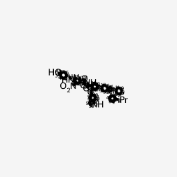 CC(C)c1ccccc1[C@H]1CSCCN1C1CC2(CCN(c3ccc(C(=O)NS(=O)(=O)c4cnc(NC[C@H]5CC[C@](C)(O)CC5)c([N+](=O)[O-])c4)c(Oc4cnc5[nH]ccc5c4)c3)CC2)C1